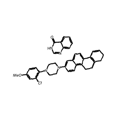 COc1ccc(N2CCN(c3ccc4c5c(ccc4c3)C3=C(CCC=C3)CC5)CC2)c(Cl)c1.O=c1[nH]cnc2ccccc12